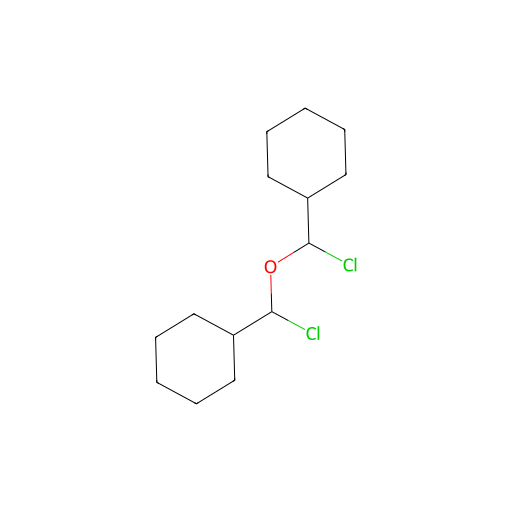 ClC(OC(Cl)C1CCCCC1)C1CCCCC1